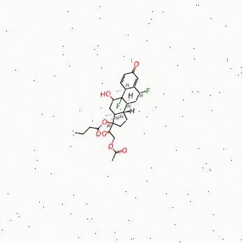 CCCC(=O)O[C@]1(C(=O)COC(C)=O)CC[C@H]2[C@@H]3C[C@H](F)C4=CC(=O)C=C[C@]4(C)C3(F)C(O)C[C@@]21C